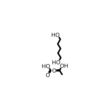 CC(=O)O.O=CO.OCCCCCO